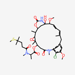 COc1cc2cc(c1Cl)N(C)C(=O)CC(OC(=O)C(C)N(C)C(=O)CCC(C)(C)SC)C1(C)OC1C(C)C1CC(O)(NC(=O)O1)C(OC)/C=C/C=C(\C)C2